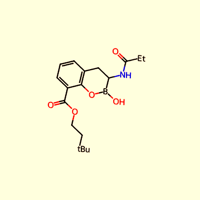 CCC(=O)NC1Cc2cccc(C(=O)OCCC(C)(C)C)c2OB1O